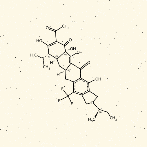 CC[C@@H](C)N1Cc2c(O)c3c(c(C(F)(F)F)c2C1)C[C@H]1C[C@H]2[C@H](N(C)C)C(O)=C(C(C)=O)C(=O)[C@@]2(O)C(O)=C1C3=O